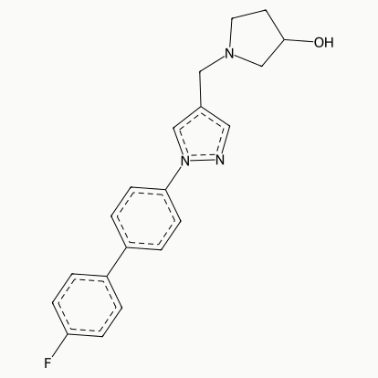 OC1CCN(Cc2cnn(-c3ccc(-c4ccc(F)cc4)cc3)c2)C1